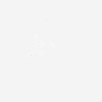 Cc1ccc(-c2cccc(Oc3ccc([N+](=O)[O-])cc3S(=O)(=O)NC(=O)NC(C)C)c2)cc1